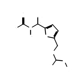 COC(C)OCc1ccc(C(C)N(O)C(N)=O)o1